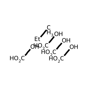 CCC.O=C(O)O.O=C(O)O.O=C(O)O.O=C(O)O